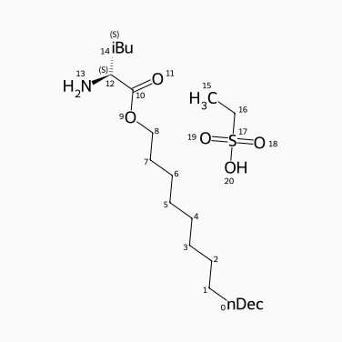 CCCCCCCCCCCCCCCCCCOC(=O)[C@@H](N)[C@@H](C)CC.CCS(=O)(=O)O